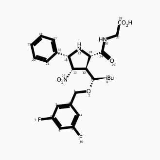 CC[C@H](C)[C@H](OCc1cc(F)cc(F)c1)[C@H]1[C@H]([N+](=O)[O-])[C@H](c2ccccc2)N[C@@H]1C(=O)NCC(=O)O